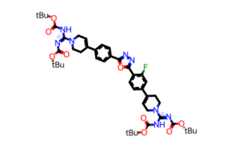 CC(C)(C)OC(=O)/N=C(/NC(=O)OC(C)(C)C)N1CC=C(c2ccc(-c3nnc(-c4ccc(C5=CCN(/C(=N/C(=O)OC(C)(C)C)NC(=O)OC(C)(C)C)CC5)cc4F)o3)cc2)CC1